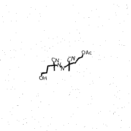 CC(=O)OCCCC(C)(C#N)N=NC(C)(C#N)CCCO